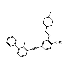 Cc1c(C#Cc2ccc(C=O)c(OCC3CCN(C)CC3)c2)cccc1-c1ccccc1